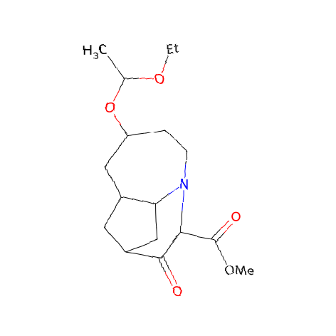 CCOC(C)OC1CCN2C(C(=O)OC)C(=O)C3CC(C1)C2C3